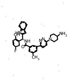 Cc1cc(C(=O)N[C@H](C2=C(O)C=CC(F)C2)c2cc3ccccc3[nH]2)cc(-c2ccc(N3CCC(N)CC3)nn2)c1